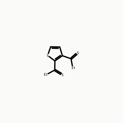 CCC(=S)c1ccsc1C(=S)CC